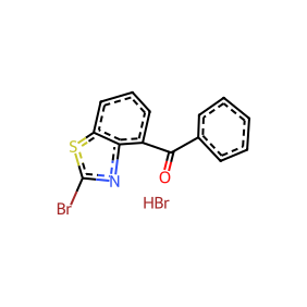 Br.O=C(c1ccccc1)c1cccc2sc(Br)nc12